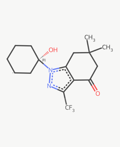 CC1(C)CC(=O)c2c(C(F)(F)F)nn([C@@]3(O)C[CH]CCC3)c2C1